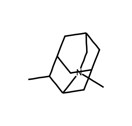 CC1C2CC3CC(C2)CN(C)C1C3